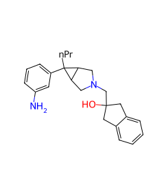 CCCC1(c2cccc(N)c2)C2CN(CC3(O)Cc4ccccc4C3)CC21